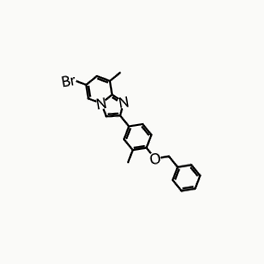 Cc1cc(-c2cn3cc(Br)cc(C)c3n2)ccc1OCc1ccccc1